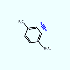 CC(=O)Nc1ccc(C(F)(F)F)cc1.N#N